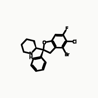 Fc1cc2c(c(Br)c1Cl)C[C@](c1ccccc1)([C@@H]1CCCCN1)O2